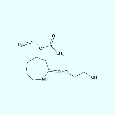 C=COC(C)=O.O=C1CCCCCN1.OCCO